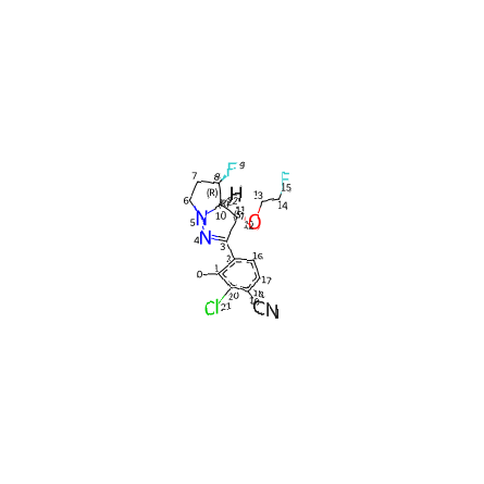 Cc1c(C2=NN3CC[C@@H](F)[C@H]3[C@@H]2OCCF)ccc(C#N)c1Cl